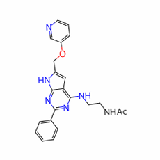 CC(=O)NCCNc1nc(-c2ccccc2)nc2[nH]c(COc3cccnc3)cc12